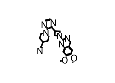 COc1cc2cnc(N3CC(c4nccnc4N4CCC(C#N)CC4)C3)nc2cc1OC